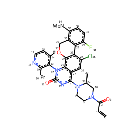 C=CC(=O)N1CCN(c2nc(=O)n(-c3c(C)ccnc3C(C)C)c3c4c(c(Cl)cc23)-c2c(F)ccc(NC)c2CO4)[C@@H](C)C1